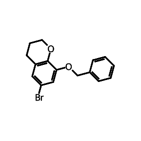 Brc1cc2c(c(OCc3ccccc3)c1)OCCC2